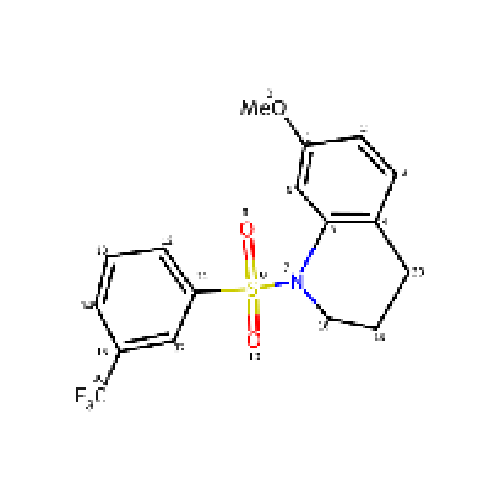 COc1ccc2c(c1)N(S(=O)(=O)c1cccc(C(F)(F)F)c1)CCC2